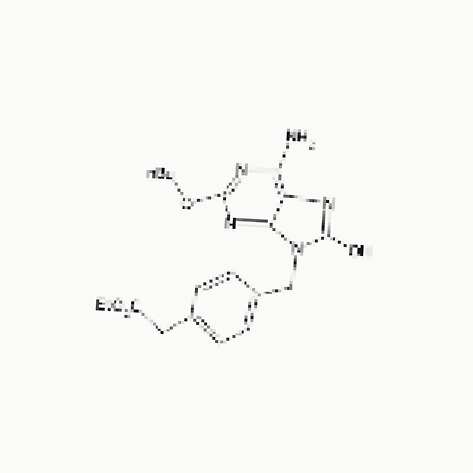 CCCCOc1nc(N)c2nc(O)n(Cc3ccc(CC(=O)OCC)cc3)c2n1